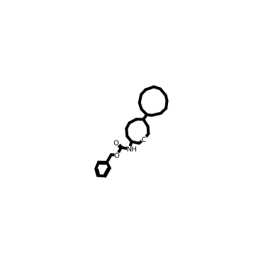 O=C(NC1CCCCC(C2CCCCCCCCCCC2)CCCC1)OCc1ccccc1